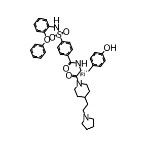 O=C(N[C@H](Cc1ccc(O)cc1)C(=O)N1CCC(CCN2CCCC2)CC1)c1ccc(S(=O)(=O)Nc2ccccc2Oc2ccccc2)cc1